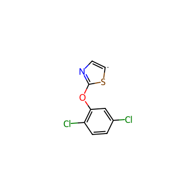 Clc1ccc(Cl)c(Oc2nc[c]s2)c1